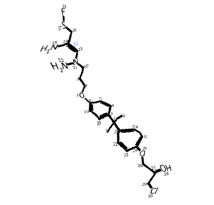 CC(C)(c1ccc(OCCCN(N)/C=C(\N)CSF)cc1)c1ccc(OCC(O)CCl)cc1